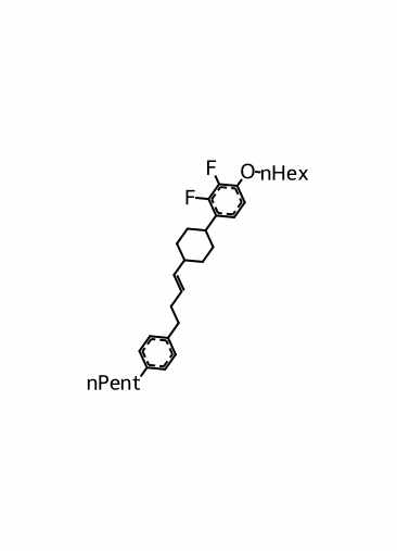 CCCCCCOc1ccc(C2CCC(/C=C/CCc3ccc(CCCCC)cc3)CC2)c(F)c1F